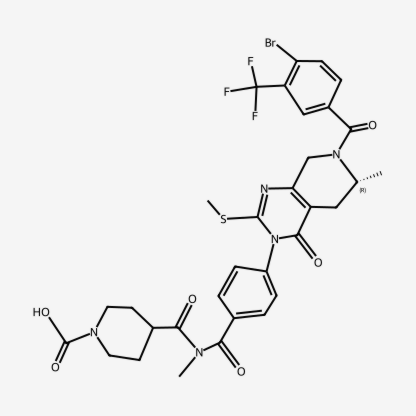 CSc1nc2c(c(=O)n1-c1ccc(C(=O)N(C)C(=O)C3CCN(C(=O)O)CC3)cc1)C[C@@H](C)N(C(=O)c1ccc(Br)c(C(F)(F)F)c1)C2